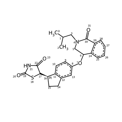 CC(C)CN1CC(Oc2ccc3c(c2)CC[C@H]3C2SC(=O)NC2=O)c2ccccc2C1=O